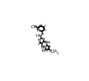 Cc1cc(Nc2nc(NCc3cccc(Cl)n3)ncc2Br)n[nH]1